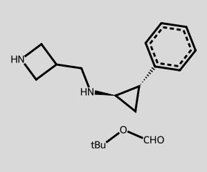 CC(C)(C)OC=O.c1ccc([C@@H]2C[C@H]2NCC2CNC2)cc1